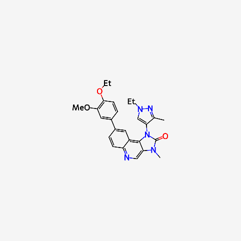 CCOc1ccc(-c2ccc3ncc4c(c3c2)n(-c2cn(CC)nc2C)c(=O)n4C)cc1OC